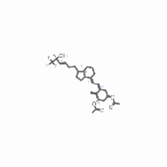 C=C1/C(=C\C=C2/CCC[C@]3(C)C(CC/C=C/[C@@](C)(O)C(F)(F)F)CCC23)CC(OC(C)=O)C[C@@H]1OC(C)=O